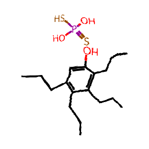 CCCc1cc(O)c(CCC)c(CCC)c1CCC.OP(O)(=S)S